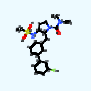 CN(C)C(=O)N1CC[C@H](NS(C)(=O)=O)[C@@H]1Cc1cccc(-c2cccc(F)c2)c1